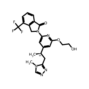 C[C@H](Cc1nncn1C)c1cc(OCCO)nc(N2Cc3c(cccc3C(F)(F)F)C2=O)c1